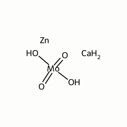 [CaH2].[O]=[Mo](=[O])([OH])[OH].[Zn]